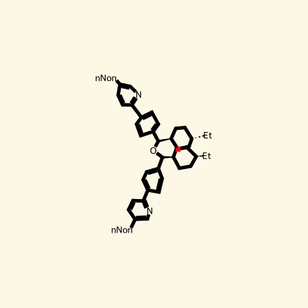 CCCCCCCCCc1ccc(-c2ccc(C(OC(c3ccc(-c4ccc(CCCCCCCCC)cn4)cc3)[C@H]3CC[C@H](CC)CC3)[C@H]3CC[C@H](CC)CC3)cc2)nc1